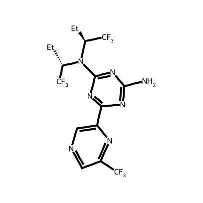 CC[C@H](N(c1nc(N)nc(-c2cncc(C(F)(F)F)n2)n1)[C@@H](CC)C(F)(F)F)C(F)(F)F